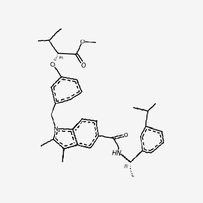 COC(=O)[C@H](Oc1cccc(Cn2c(C)c(C)c3cc(C(=O)N[C@@H](C)c4cccc(C(C)C)c4)ccc32)c1)C(C)C